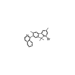 Cc1cc(Br)c2c(c1)-c1cc(C)c(-c3nccc4ccccc34)cc1C2(C)C